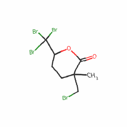 CC1(CBr)CCC(C(Br)(Br)Br)OC1=O